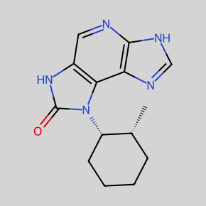 C[C@@H]1CCCC[C@@H]1n1c(=O)[nH]c2cnc3[nH]cnc3c21